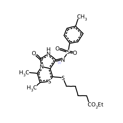 CCOC(=O)CCCCSc1sc(C)c(C)n2c(=O)[nH]/c(=N\S(=O)(=O)c3ccc(C)cc3)c1-2